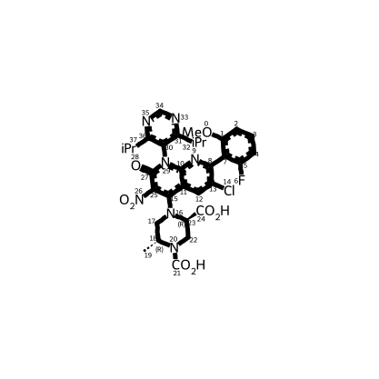 COc1cccc(F)c1-c1nc2c(cc1Cl)c(N1C[C@@H](C)N(C(=O)O)C[C@@H]1C(=O)O)c([N+](=O)[O-])c(=O)n2-c1c(C(C)C)ncnc1C(C)C